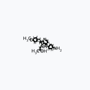 COc1ccc(Cn2nc(NC[C@H](C)O)c3c(Oc4ccc(N)cc4)ccnc32)cc1